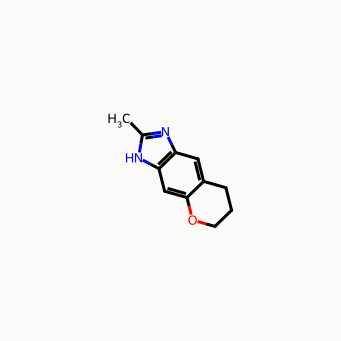 Cc1nc2cc3c(cc2[nH]1)OCCC3